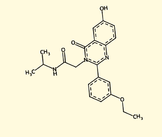 CCOc1cccc(-c2nc3ccc(O)cc3c(=O)n2CC(=O)NC(C)C)c1